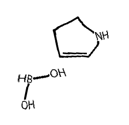 C1=CNCC1.OBO